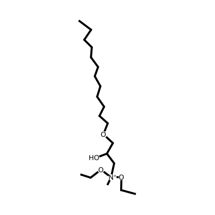 CCCCCCCCCCCCOCC(O)C[N+](C)(OCC)OCC